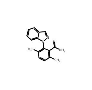 Cc1cnc(C)c(-n2ncc3ccccc32)c1C(N)=O